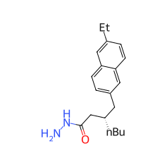 CCCC[C@H](CC(=O)NN)Cc1ccc2cc(CC)ccc2c1